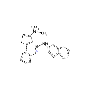 CN(C)C1=CCC(c2ccccc2/C=N/Nc2ccc3ccccc3c2)=C1